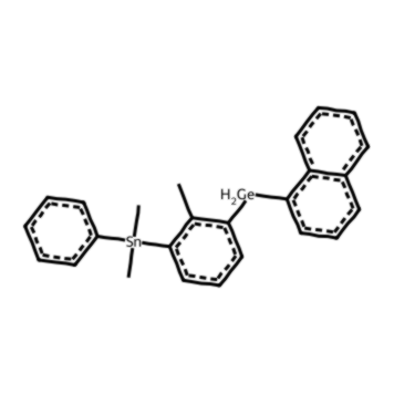 Cc1[c]([GeH2][c]2cccc3ccccc23)ccc[c]1[Sn]([CH3])([CH3])[c]1ccccc1